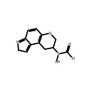 CCCN(C(=O)CC)C1COc2ccc3c(c2C1)=CCN=3